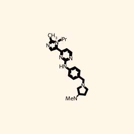 CN[C@@H]1CCN(Cc2ccc(Nc3nccc(-c4cnc(C)n4C(C)C)n3)cc2)C1